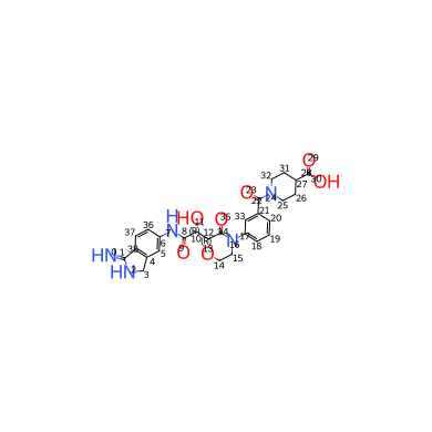 N=C1NCc2cc(NC(=O)[C@H](O)[C@H]3OCCN(c4cccc(C(=O)N5CCC(C(=O)O)CC5)c4)C3=O)ccc21